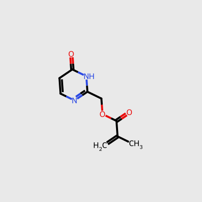 C=C(C)C(=O)OCc1nccc(=O)[nH]1